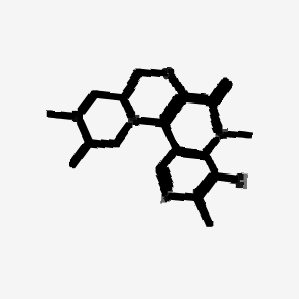 C=C1C2=C(c3cnc(C)c(Cl)c3N1C)N1CC(C)N(C)CC1CO2